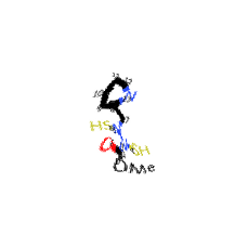 COC(=O)N(S)N(S)Cc1ccccn1